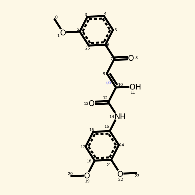 COc1cccc(C(=O)/C=C(\O)C(=O)Nc2ccc(OC)c(OC)c2)c1